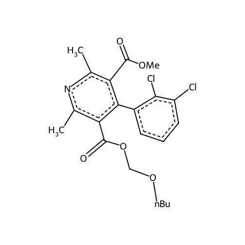 CCCCOCOC(=O)c1c(C)nc(C)c(C(=O)OC)c1-c1cccc(Cl)c1Cl